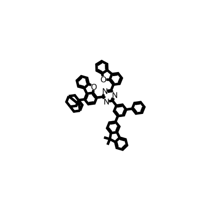 CC1(C)c2ccccc2-c2cc(-c3cc(-c4ccccc4)cc(-c4nc(-c5cccc6c5oc5ccccc56)nc(-c5ccc(C67CC8CC(CC(C8)C6)C7)c6c5oc5ccccc56)n4)c3)ccc21